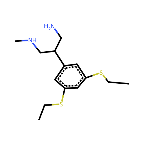 CCSc1cc(SCC)cc(C(CN)CNC)c1